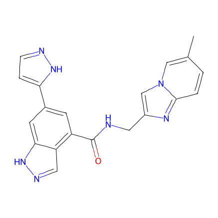 Cc1ccc2nc(CNC(=O)c3cc(-c4ccn[nH]4)cc4[nH]ncc34)cn2c1